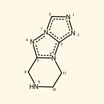 c1nnc2n3c(nn12)CNCC3